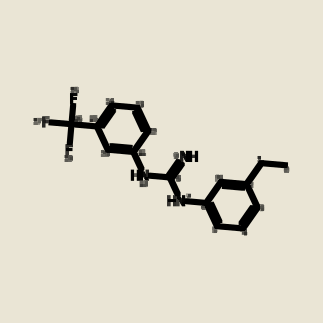 CCc1cccc(NC(=N)Nc2cccc(C(F)(F)F)c2)c1